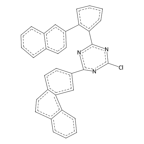 Clc1nc(-c2ccc3ccc4ccccc4c3c2)nc(-c2ccccc2-c2ccc3ccccc3c2)n1